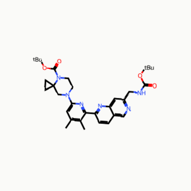 Cc1cc(N2CCN(C(=O)OC(C)(C)C)C3(CC3)C2)nc(-c2ccc3cnc(CNC(=O)OC(C)(C)C)cc3n2)c1C